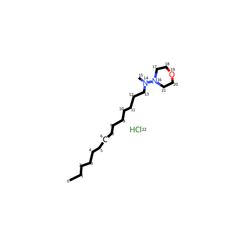 CCCCCCCCCCCCCCN(C)N1CCOCC1.Cl